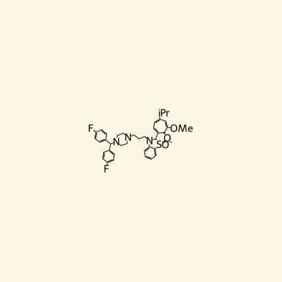 COc1cc(C(C)C)ccc(C2N(CCCN3CCN(C(c4ccc(F)cc4)c4ccc(F)cc4)CC3)c3ccccc3[S+]2[O-])c1=O